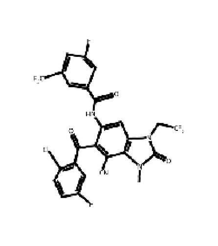 Cn1c(=O)n(CC(F)(F)F)c2cc(NC(=O)c3cc(F)cc(C(F)(F)F)c3)c(C(=O)c3cc(F)ccc3Cl)c(C#N)c21